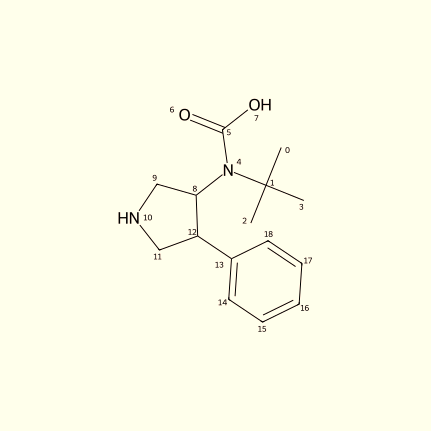 CC(C)(C)N(C(=O)O)C1CNCC1c1ccccc1